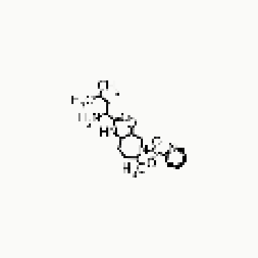 CC(C)C[C@H](N)C(=O)N[C@@H]1CC[C@H](C)N(S(=O)(=O)c2ccccn2)CC1=O